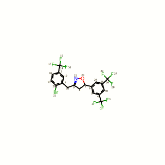 FC(F)(F)c1cc(C2CC(Cc3cc(C(F)(F)F)ccc3Br)=NO2)cc(C(F)(F)F)c1